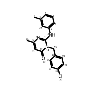 Cc1cccc(Nc2nc(C)cc(=O)n2Cc2ccc(Cl)cc2)c1